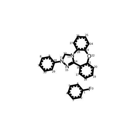 Fc1ccccc1.c1ccc(N2CN3C(=N2)c2ccccc2Oc2ccccc23)cc1